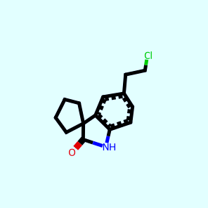 O=C1Nc2ccc(CCCl)cc2C12CCCC2